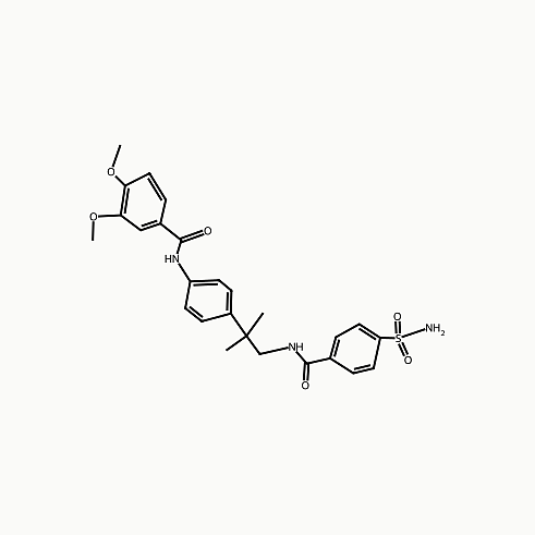 COc1ccc(C(=O)Nc2ccc(C(C)(C)CNC(=O)c3ccc(S(N)(=O)=O)cc3)cc2)cc1OC